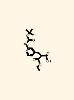 CCOC(=O)C(Cc1ccnc(NC(=O)OC(C)(C)C)c1)C(=O)O